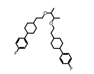 CC(OCCC1CCC(c2ccc(F)cc2)CC1)C(C)OCCC1CCC(c2ccc(F)cc2)CC1